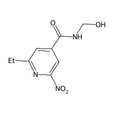 CCc1cc(C(=O)NCO)cc([N+](=O)[O-])n1